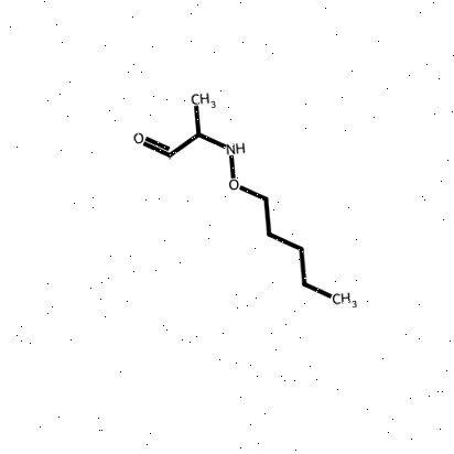 CCCCCONC(C)[C]=O